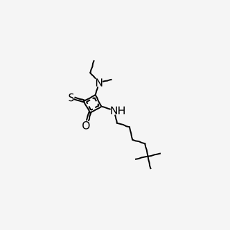 CCN(C)c1c(NCCCCC(C)(C)C)c(=O)c1=S